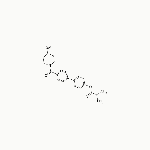 C=C(C)C(=O)Oc1ccc(-c2ccc(C(=O)N3CCC(OC)CC3)cc2)cc1